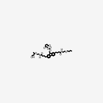 CCCCOCCNC(=O)CCCc1ccc2c(c1)C(COC(=O)ON1C(=O)CCC1=O)c1cc(CCCC(=O)NCCOC(C)CCO)ccc1-2